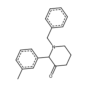 Cc1cccc(C2C(=O)CCCN2Cc2ccccc2)c1